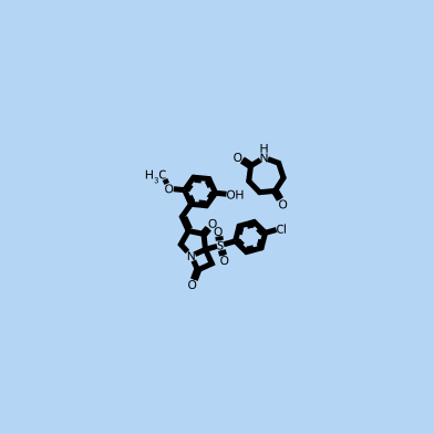 COc1ccc(O)cc1C=C1CN2C(=O)CC2(S(=O)(=O)c2ccc(Cl)cc2)C1=O.O=C1CCNC(=O)CC1